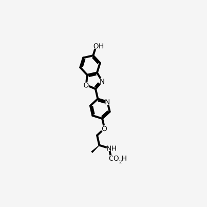 C[C@@H](COc1ccc(-c2nc3cc(O)ccc3o2)nc1)NC(=O)O